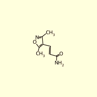 Cc1noc(C)c1C=CC(N)=O